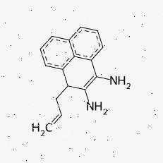 C=CCC1C(N)=C(N)c2cccc3cccc1c23